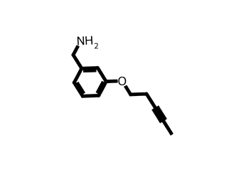 CC#CCCOc1cccc(CN)c1